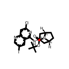 CC(C)(C)OC(=O)N1[C@@H]2CC[C@H]1C[C@@H](Nc1nc(Cl)cc3ncc(I)cc13)C2